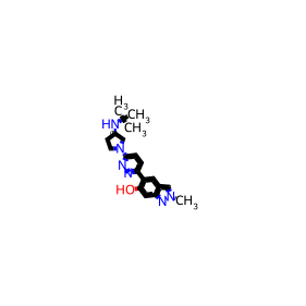 Cn1cc2cc(-c3ccc(N4CC[C@@H](NC(C)(C)C)C4)nn3)c(O)cc2n1